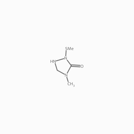 CSN1NCN(C)C1=O